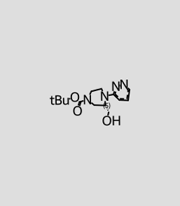 CC(C)(C)OC(=O)N1CCN(c2cccnn2)[C@H](CO)C1